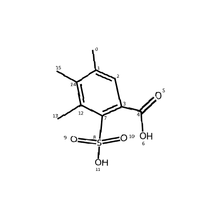 Cc1cc(C(=O)O)c(S(=O)(=O)O)c(C)c1C